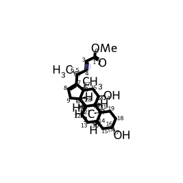 COC(=O)/C=C/[C@@H](C)C1=CC[C@H]2[C@@H]3CC[C@H]4C[C@@H](O)CC[C@]4(C)[C@H]3[C@@H](O)C[C@]12C